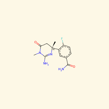 CN1C(=O)C[C@](C)(c2cc(C(N)=O)ccc2F)N=C1N